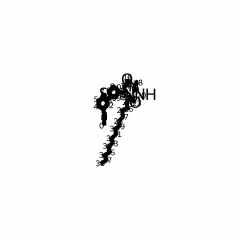 CC#Cc1ccc2sc3ccc([C@]4(C)CC(=O)N(C)C(=N)N4C(=O)CCCCCCCCCCCCCCC)cc3c2c1